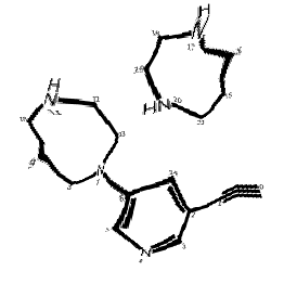 C#Cc1cncc(N2CCCNCC2)c1.C1CNCCNC1